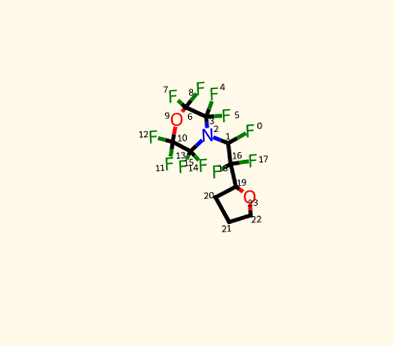 FC(N1C(F)(F)C(F)(F)OC(F)(F)C1(F)F)C(F)(F)C1CCCO1